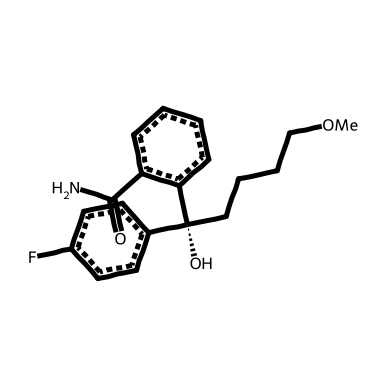 COCCCC[C@@](O)(c1ccc(F)cc1)c1ccccc1C(N)=O